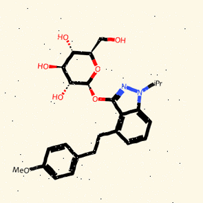 COc1ccc(CCc2cccc3c2c(O[C@@H]2O[C@H](CO)[C@@H](O)[C@H](O)[C@H]2O)nn3C(C)C)cc1